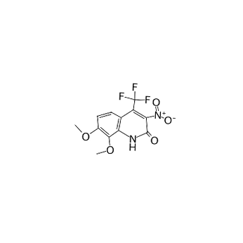 COc1ccc2c(C(F)(F)F)c([N+](=O)[O-])c(=O)[nH]c2c1OC